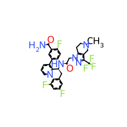 CN1CCc2c(c(C(F)(F)F)nn2CC(=O)N[C@@H](Cc2cc(F)cc(F)c2)c2ncccc2-c2ccc(F)c(C(N)=O)c2)C1